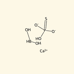 OBO.[Ca+2].[O-]P([O-])(O)=S